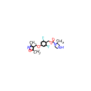 Cc1noc(C)c1COc1cc(F)c(COC(=O)N2CCNC[C@@H]2C)c(F)c1